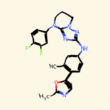 Cc1ncc(-c2ccc(Nc3nc4n(n3)CCCN4c3ccc(F)c(F)c3)cc2C#N)o1